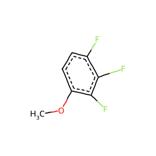 COc1ccc(F)c(F)c1F